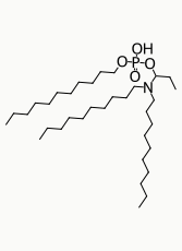 CCCCCCCCCCCOP(=O)(O)OC(CC)N(CCCCCCCCCC)CCCCCCCCCC